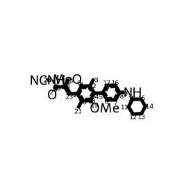 COc1c(C)c(-c2ccc(NC3CCCCC3)cc2)c(OC)c(C)c1/C=C(\C)C(=O)NC#N